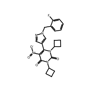 O=c1c([N+](=O)[O-])c(-c2cnn(Cc3ccccc3F)c2)n(C2CCC2)c(=O)n1C1CCC1